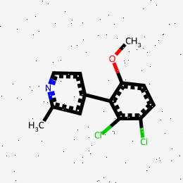 COc1ccc(Cl)c(Cl)c1-c1ccnc(C)c1